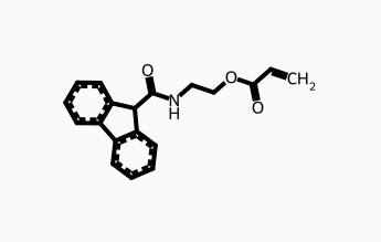 C=CC(=O)OCCNC(=O)C1c2ccccc2-c2ccccc21